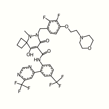 CN1N(Cc2ccc(OCCN3CCOCC3)c(F)c2F)C(=O)C(C(=O)Nc2ccc(C(F)(F)F)cc2-c2cc(C(F)(F)F)ncn2)=C(O)C12CCC2